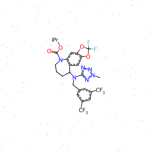 CC(C)OC(=O)N1CCCC(N(Cc2cc(C(F)(F)F)cc(C(F)(F)F)c2)c2nnn(C)n2)c2cc3c(cc21)OC(F)(F)O3